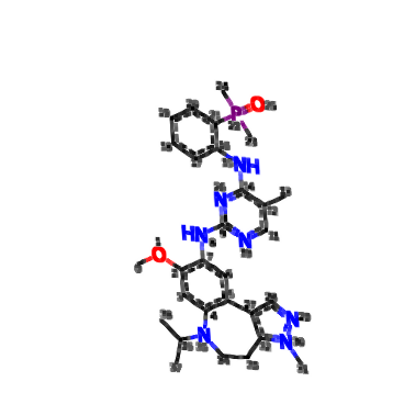 COc1cc2c(cc1Nc1ncc(C)c(Nc3ccccc3P(C)(C)=O)n1)-c1cnn(C)c1CCN2C(C)C